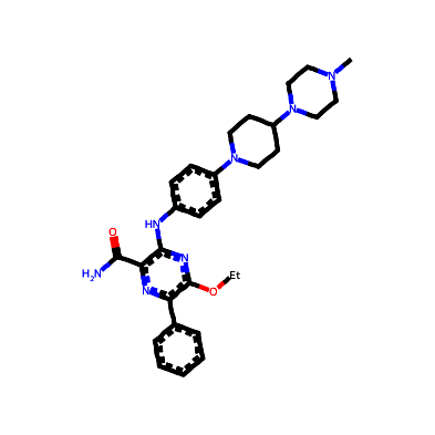 CCOc1nc(Nc2ccc(N3CCC(N4CCN(C)CC4)CC3)cc2)c(C(N)=O)nc1-c1ccccc1